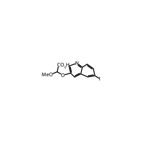 COC(Oc1cnc2ccc(I)cc2c1)C(=O)O